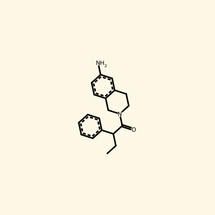 CCC(C(=O)N1CCc2cc(N)ccc2C1)c1ccccc1